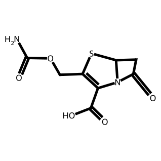 NC(=O)OCC1=C(C(=O)O)N2C(=O)CC2S1